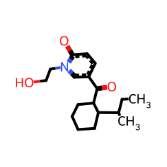 CCC(C)C1CCCCC1C(=O)c1ccc(=O)n(CCO)c1